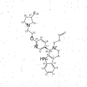 C=CCCN1CCc2c([nH]c3ccccc23)[C@H]1c1ccc(OCCN2CCC(F)C2)nc1